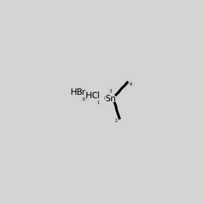 Br.Cl.[CH3][Sn][CH3]